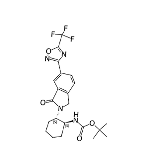 CC(C)(C)OC(=O)N[C@H]1CCCC[C@@H]1N1Cc2ccc(-c3noc(C(F)(F)F)n3)cc2C1=O